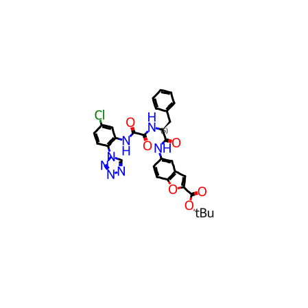 CC(C)(C)OC(=O)c1cc2cc(NC(=O)[C@H](Cc3ccccc3)NC(=O)C(=O)Nc3cc(Cl)ccc3-n3cnnn3)ccc2o1